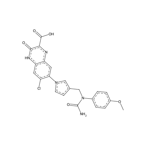 COc1ccc(N(Cc2ccn(-c3cc4nc(C(=O)O)c(=O)[nH]c4cc3Cl)c2)C(N)=O)cc1